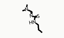 CCCNC(=S)/N=C/N(C)C